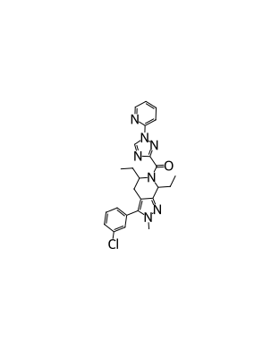 CCC1Cc2c(nn(C)c2-c2cccc(Cl)c2)C(CC)N1C(=O)c1ncn(-c2ccccn2)n1